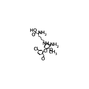 COc1ccccc1N.NCCCC[C@H](N)C(=O)O.O=Cc1ccc(Cl)cc1Cl